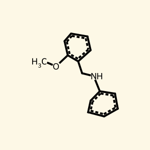 COc1ccccc1CNc1ccccc1